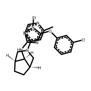 CCn1nc(N[C@H]2[C@@H]3CC[C@H]2CN(c2cc(C)ncn2)C3)nc1Oc1cccc(Cl)c1